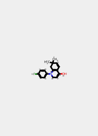 CC1(C)C=CC2=C(C1)N(c1ccc(F)cc1)CC=C2O